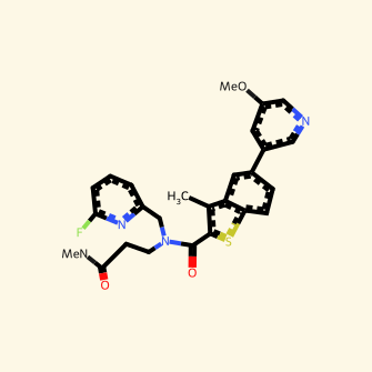 CNC(=O)CCN(Cc1cccc(F)n1)C(=O)c1sc2ccc(-c3cncc(OC)c3)cc2c1C